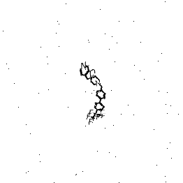 FC(F)(F)C(F)(c1ccc(-c2ccc(CN3CCC4(CC3)Cc3ccncc3O4)cc2)cc1)C(F)(F)F